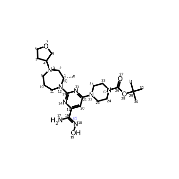 C[C@H]1CN(C2CCOC2)CCCN1c1nc(/C(N)=N/O)cc(N2CCN(C(=O)OC(C)(C)C)CC2)n1